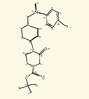 CN(CC1CCC(N2CCN(C(=O)OC(C)(C)C)CC2=O)CC1)c1ccc(I)cc1